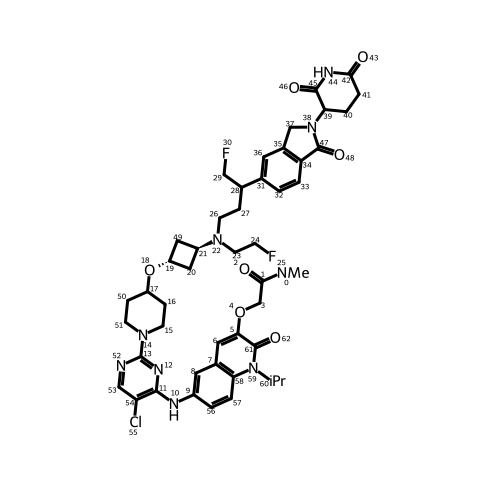 CNC(=O)COc1cc2cc(Nc3nc(N4CCC(O[C@H]5C[C@H](N(CCF)CCC(CF)c6ccc7c(c6)CN(C6CCC(=O)NC6=O)C7=O)C5)CC4)ncc3Cl)ccc2n(C(C)C)c1=O